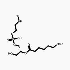 [2H]NCCOP(=O)(O)OC[C@@H](CO)OC(=O)CCCCCCCCCCCCCCC